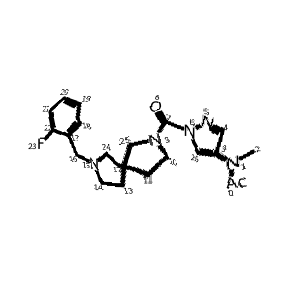 CC(=O)N(C)c1cnn(C(=O)N2CCC3(CCN(Cc4ccccc4F)C3)C2)c1